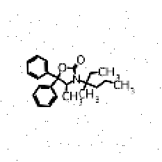 CCCC(C)(CC)N1C(=O)OC(c2ccccc2)(c2ccccc2)C1C